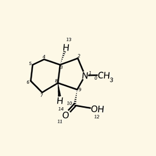 CN1C[C@@H]2CCCC[C@H]2[C@H]1C(=O)O